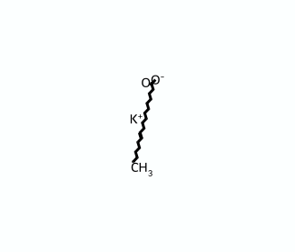 CCCCCCC=CCCCCCCCCCC(=O)[O-].[K+]